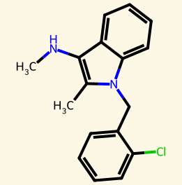 CNc1c(C)n(Cc2ccccc2Cl)c2ccccc12